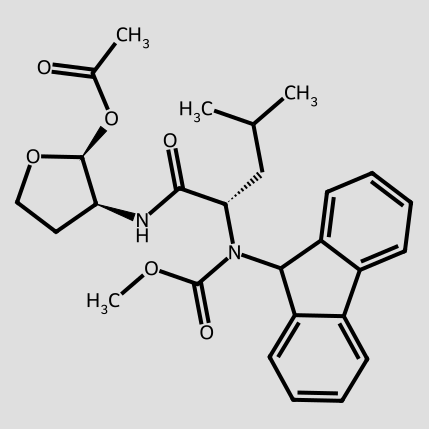 COC(=O)N(C1c2ccccc2-c2ccccc21)[C@@H](CC(C)C)C(=O)N[C@H]1CCO[C@H]1OC(C)=O